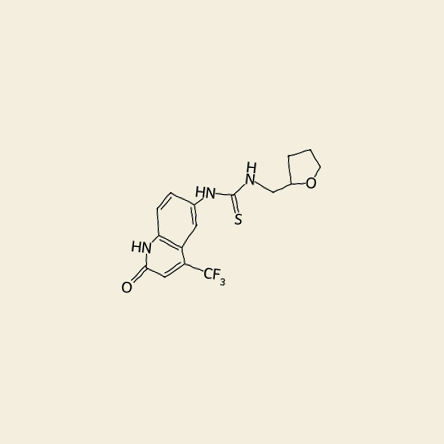 O=c1cc(C(F)(F)F)c2cc(NC(=S)NCC3CCCO3)ccc2[nH]1